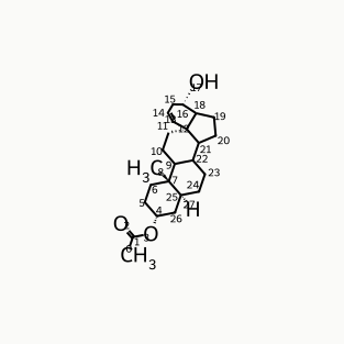 CC(=O)O[C@@H]1CC[C@]2(C)C3CC[C@]45C=CC[C@H](O)C4CCC5C3CC[C@H]2C1